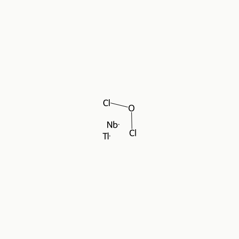 ClOCl.[Nb].[Tl]